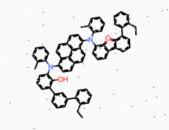 CCc1ccccc1-c1cccc(-c2cccc(N(c3ccccc3C)c3ccc4ccc5c(N(c6ccccc6C)c6cccc7c6oc6c(-c8ccccc8CC)cccc67)ccc6ccc3c4c65)c2O)c1